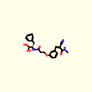 CNC(=O)C(C#N)=Cc1cccc(OCCC(=O)N[C@@H](Cc2ccccc2)B(O)O)c1